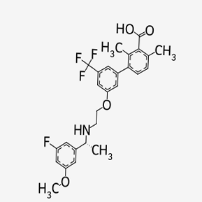 COc1cc(F)cc([C@@H](C)NCCOc2cc(-c3ccc(C)c(C(=O)O)c3C)cc(C(F)(F)F)c2)c1